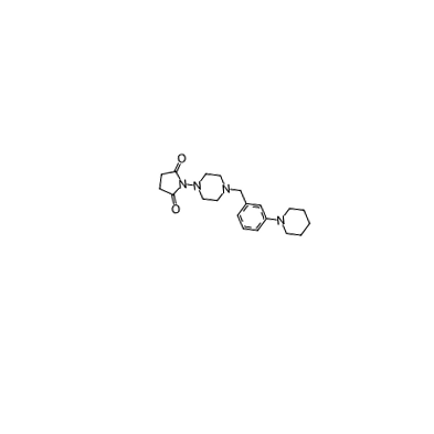 O=C1CCC(=O)N1N1CCN(Cc2cccc(N3CCCCC3)c2)CC1